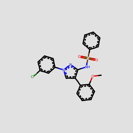 COc1ccccc1-c1cn(-c2cccc(Cl)c2)nc1NS(=O)(=O)c1ccccc1